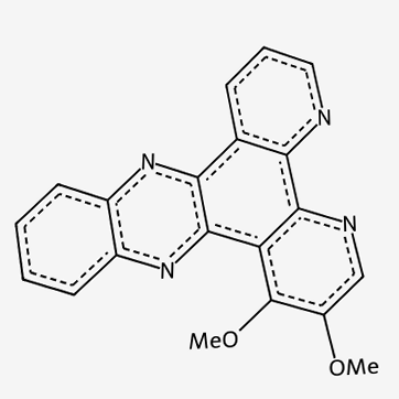 COc1cnc2c3ncccc3c3nc4ccccc4nc3c2c1OC